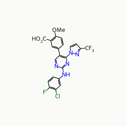 COc1ccc(-c2cnc(Nc3ccc(F)c(Cl)c3)nc2-n2ccc(C(F)(F)F)n2)cc1C(=O)O